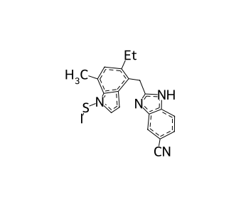 CCc1cc(C)c2c(ccn2SI)c1Cc1nc2cc(C#N)ccc2[nH]1